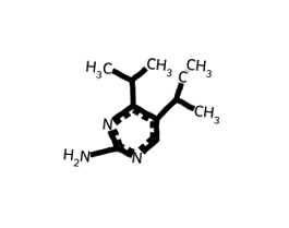 CCC(C)c1cnc(N)nc1C(C)C